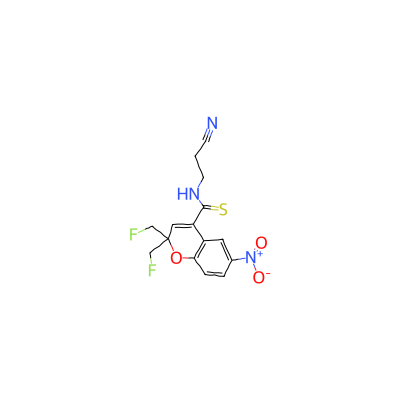 N#CCCNC(=S)C1=CC(CF)(CF)Oc2ccc([N+](=O)[O-])cc21